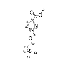 COC(=O)c1c[c]n(COCC[Si](C)(C)C)n1